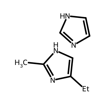 CCc1c[nH]c(C)n1.c1c[nH]cn1